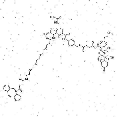 CCCC1O[C@@H]2C[C@H]3[C@@H]4CCC5=CC(=O)C=C[C@]5(C)[C@H]4[C@@H](O)C[C@]3(C)[C@]2(C(=O)COC(=O)CCC(=O)OCc2ccc(NC(=O)[C@H](CCCNC(N)=O)NC(=O)[C@@H](NC(=O)CCOCCOCCOCCOCCNC(=O)CCC(=O)N3Cc4ccccc4/C=C\c4ccccc43)C(C)C)cc2)O1